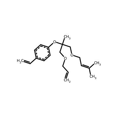 C=CCOCC(C)(COCC=C(C)C)Oc1ccc(C=C)cc1